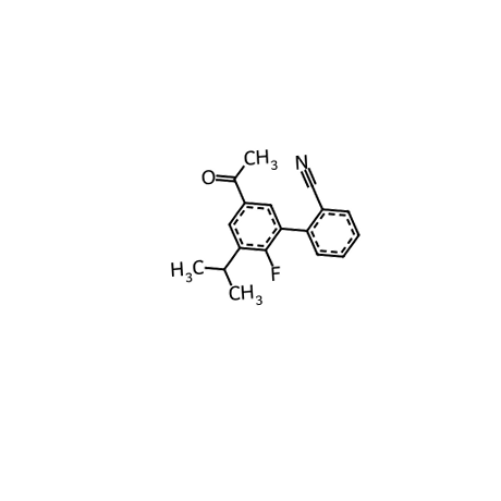 CC(=O)c1cc(-c2ccccc2C#N)c(F)c(C(C)C)c1